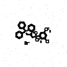 FC(F)(F)c1cc(Cl)cc(C2(C(F)(F)F)CC(C[P+](c3ccccc3)(c3ccccc3)c3ccccc3)=NO2)c1.[Br-]